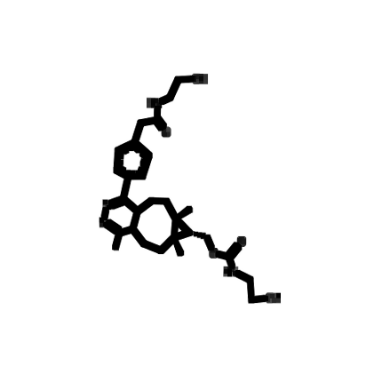 CC1=NN=C(c2ccc(CC(=O)NCCO)cc2)C2CC[C@]3(C)[C@H](COC(=O)NCCO)[C@]3(C)CCC12